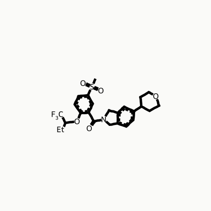 CCC(Oc1ccc(S(C)(=O)=O)cc1C(=O)N1Cc2ccc(C3CCOCC3)cc2C1)C(F)(F)F